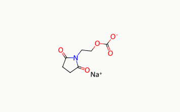 O=C([O-])OCCN1C(=O)CCC1=O.[Na+]